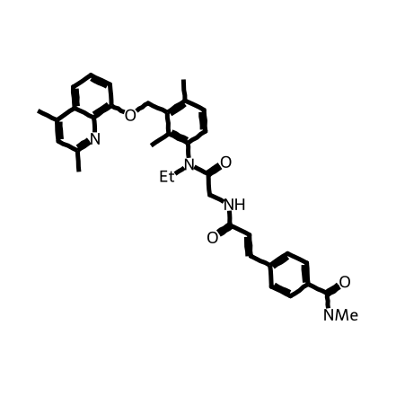 CCN(C(=O)CNC(=O)/C=C/c1ccc(C(=O)NC)cc1)c1ccc(C)c(COc2cccc3c(C)cc(C)nc23)c1C